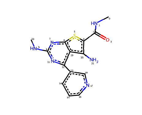 CNC(=O)c1sc2nc(NC)nc(-c3cccnc3)c2c1N